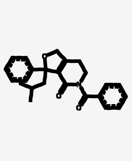 CC(C)CC1(c2ccccc2)OCC2=C1C(=O)N(C(=O)c1ccccc1)CC2